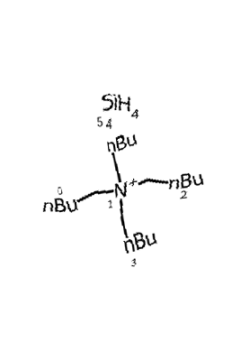 CCCC[N+](CCCC)(CCCC)CCCC.[SiH4]